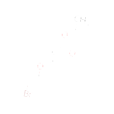 CCOC(=O)C=COCCBr